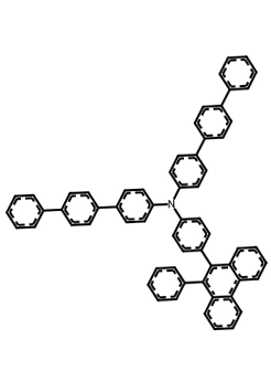 c1ccc(-c2ccc(-c3ccc(N(c4ccc(-c5ccc(-c6ccccc6)cc5)cc4)c4ccc(-c5c(-c6ccccc6)c6ccccc6c6ccccc56)cc4)cc3)cc2)cc1